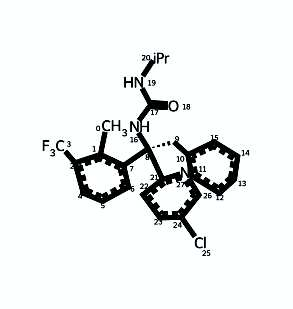 Cc1c(C(F)(F)F)cccc1[C@@](Cc1ccccc1)(NC(=O)NC(C)C)c1ccc(Cl)cn1